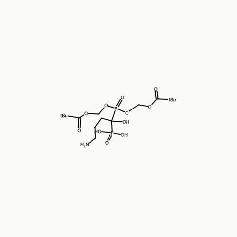 CC(C)(C)C(=O)OCOP(=O)(OCOC(=O)C(C)(C)C)C(O)(CCCN)P(=O)(O)O